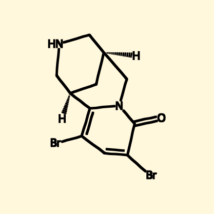 O=c1c(Br)cc(Br)c2n1C[C@@H]1CNC[C@H]2C1